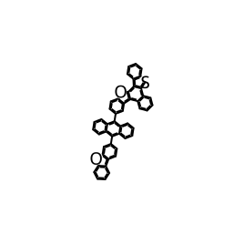 c1ccc2c(c1)oc1cc(-c3c4ccccc4c(-c4ccc5oc6c(c5c4)c4ccccc4c4sc5ccccc5c64)c4ccccc34)ccc12